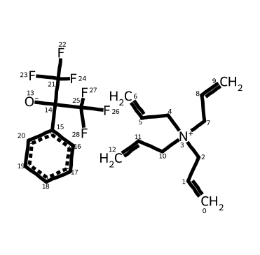 C=CC[N+](CC=C)(CC=C)CC=C.[O-]C(c1ccccc1)(C(F)(F)F)C(F)(F)F